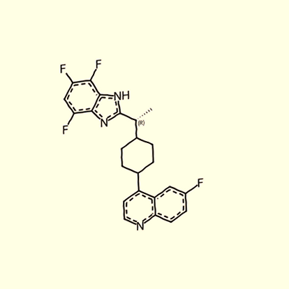 C[C@@H](c1nc2c(F)cc(F)c(F)c2[nH]1)C1CCC(c2ccnc3ccc(F)cc23)CC1